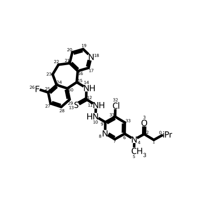 CC(C)CC(=O)N(C)c1cnc(NNC(=S)NC2c3cnccc3CCc3c(F)cccc32)c(Cl)c1